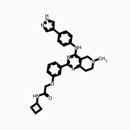 CN1CCc2nc(-c3cccc(OCC(=O)NC4CCC4)c3)nc(Nc3ccc(-c4cn[nH]c4)cc3)c2C1